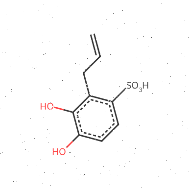 C=CCc1c(S(=O)(=O)O)ccc(O)c1O